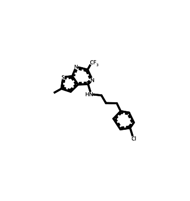 Cc1cc2c(NCCCc3ccc(Cl)cc3)nc(C(F)(F)F)nc2s1